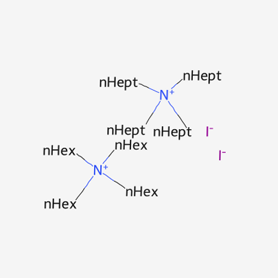 CCCCCCC[N+](CCCCCCC)(CCCCCCC)CCCCCCC.CCCCCC[N+](CCCCCC)(CCCCCC)CCCCCC.[I-].[I-]